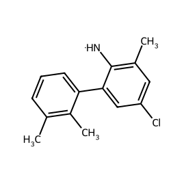 Cc1cccc(-c2cc(Cl)cc(C)c2[NH])c1C